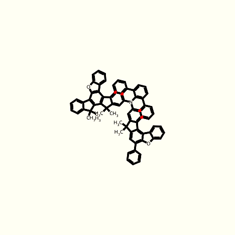 CC1(C)c2cc(N(c3ccc4c(c3)C(C)(C)c3c5c(c6oc7ccccc7c6c3-4)-c3ccccc3C5(C)C)c3c(-c4ccccc4)cccc3-c3ccccc3)ccc2-c2c1cc(-c1ccccc1)c1oc3ccccc3c21